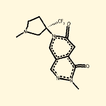 CN1CC[C@](n2cc3cnn(C)c(=O)c3cc2=O)(C(F)(F)F)C1